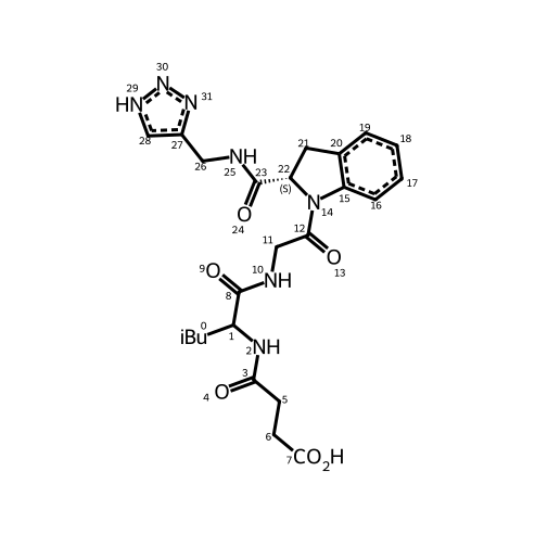 CCC(C)C(NC(=O)CCC(=O)O)C(=O)NCC(=O)N1c2ccccc2C[C@H]1C(=O)NCc1c[nH]nn1